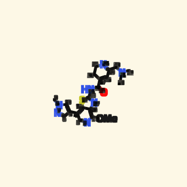 COc1ncc(-c2cnn(C)c2)c2sc(NC(=O)C3=CC(CN(C)C)=NCC3)nc12